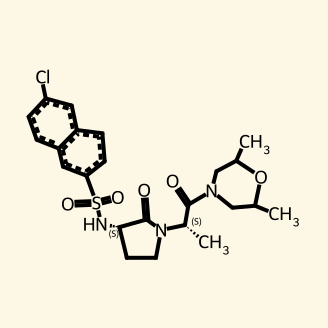 CC1CN(C(=O)[C@H](C)N2CC[C@H](NS(=O)(=O)c3ccc4cc(Cl)ccc4c3)C2=O)CC(C)O1